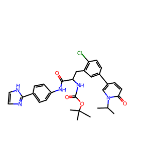 CC(C)n1cc(-c2ccc(Cl)c(CC(NC(=O)OC(C)(C)C)C(=O)Nc3ccc(-c4ncc[nH]4)cc3)c2)ccc1=O